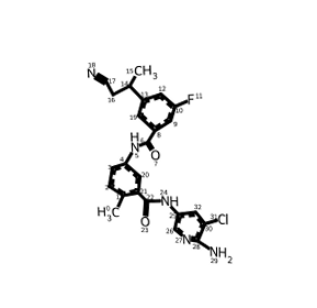 Cc1ccc(NC(=O)c2cc(F)cc(C(C)CC#N)c2)cc1C(=O)Nc1cnc(N)c(Cl)c1